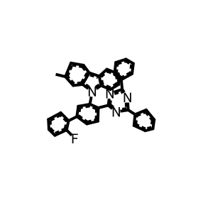 Cc1ccc2c3ccccc3n(-c3cc(-c4ccccc4F)ccc3-c3nc(-c4ccccc4)nc(-c4ccccc4)n3)c2c1